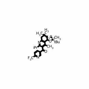 Cc1c(C(=O)c2ccc(C(F)(F)F)nc2)c(C(C)C)nc2c1C(O[Si](C)(C)C(C)(C)C)CC(C)(C)C2